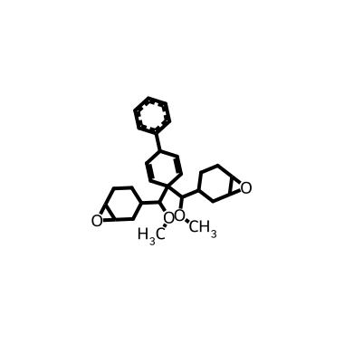 COC(C1CCC2OC2C1)C1(C(OC)C2CCC3OC3C2)C=CC(c2ccccc2)C=C1